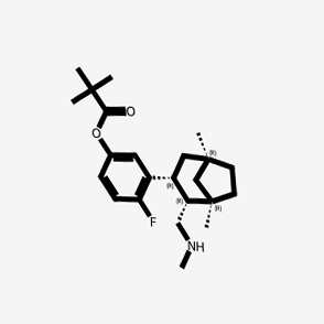 CNC[C@@H]1[C@H](c2cc(OC(=O)C(C)(C)C)ccc2F)C[C@@]2(C)CC[C@]1(C)C2